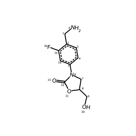 NCc1ccc(N2CC(CO)OC2=O)cc1F